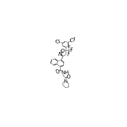 O=C(NCC(=O)N1CCCCC1)c1ccc(C2=NOC(c3cc(Cl)cc(Cl)c3)(C(F)(F)F)C2)c2ccccc12